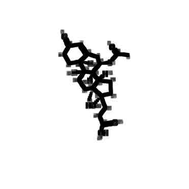 CC(=O)S[C@@H]1CC2=CC(=O)CC[C@@H]2[C@H]2CC[C@@]3(C)[C@@H](CC[C@@]3(O)CCC(=O)O)[C@@H]21